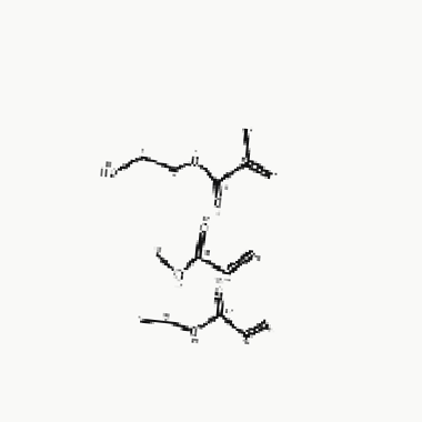 C=C(C)C(=O)OCCO.C=CC(=O)OC.C=CC(=O)OCC